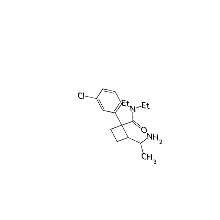 CCN(CC)C(=O)C1(c2cccc(Cl)c2)CCC1C(C)N